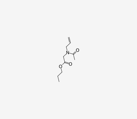 C=CCN(CC(=O)OCCC)C(C)=O